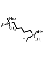 CCCCCC[N+](C)(C)CCCCC[N+](C)(C)CCCCCC